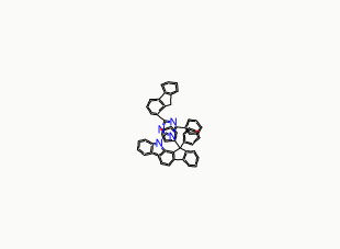 c1ccc(-c2nc(-c3cccc4c3Cc3ccccc3-4)nc(-n3c4ccccc4c4ccc5c(c43)C(c3ccccc3)(c3ccccc3)c3ccccc3-5)n2)cc1